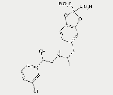 CCOC(=O)C1(C(=O)O)Oc2ccc(CC(C)NCC(O)c3cccc(Cl)c3)cc2O1